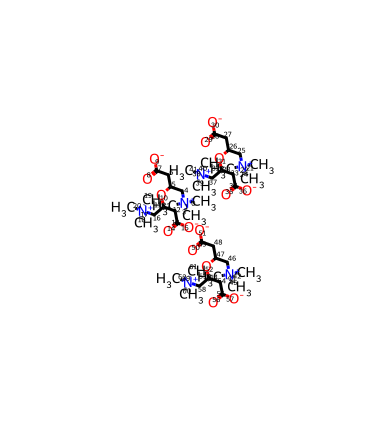 C[N+](C)(C)CC(CC(=O)[O-])OC(CC(=O)[O-])C[N+](C)(C)C.C[N+](C)(C)CC(CC(=O)[O-])OC(CC(=O)[O-])C[N+](C)(C)C.C[N+](C)(C)CC(CC(=O)[O-])OC(CC(=O)[O-])C[N+](C)(C)C